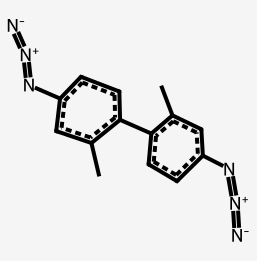 Cc1cc(N=[N+]=[N-])ccc1-c1ccc(N=[N+]=[N-])cc1C